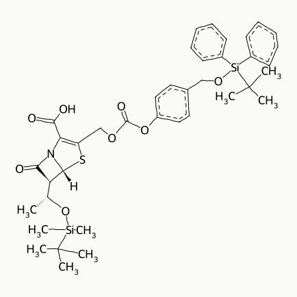 C[C@@H](O[Si](C)(C)C(C)(C)C)[C@H]1C(=O)N2C(C(=O)O)=C(COC(=O)Oc3ccc(CO[Si](c4ccccc4)(c4ccccc4)C(C)(C)C)cc3)S[C@H]12